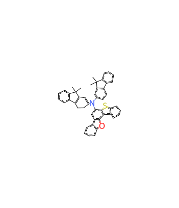 CC1(C)C2=C(CCC(N(c3ccc4c(c3)C(C)(C)c3ccccc3-4)c3cc4c5ccccc5oc4c4c3sc3ccccc34)=C2)c2ccccc21